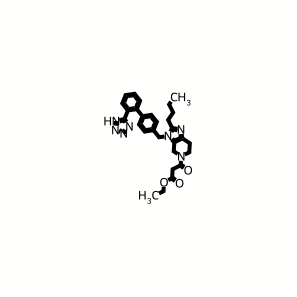 CCCCc1nc2c(n1Cc1ccc(-c3ccccc3-c3nnn[nH]3)cc1)CN(C(=O)CC(=O)OCC)CC2